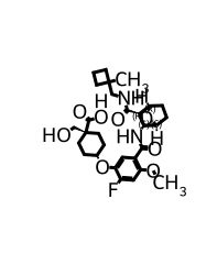 COc1cc(F)c(O[C@H]2CC[C@@](CO)(C(=O)O)CC2)cc1C(=O)N[C@H]1[C@@H](C(=O)NCC2(C)CCC2)[C@H]2CC[C@@H]1O2